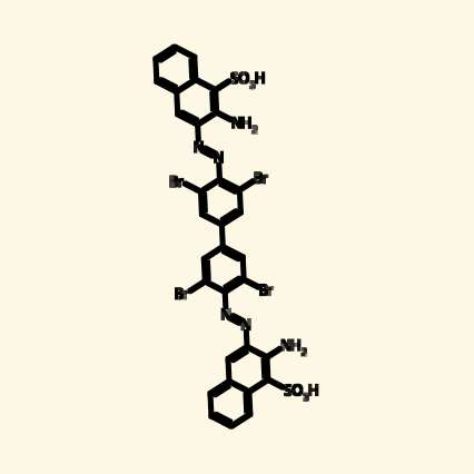 Nc1c(/N=N/c2c(Br)cc(-c3cc(Br)c(/N=N/c4cc5ccccc5c(S(=O)(=O)O)c4N)c(Br)c3)cc2Br)cc2ccccc2c1S(=O)(=O)O